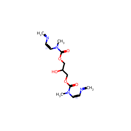 C=N/C=C\N(C)C(=O)OCC(O)COC(=O)N(C)/C=C\N=C